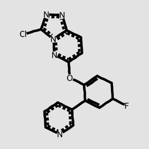 FC1C=C(c2cccnc2)C(Oc2ccc3nnc(Cl)n3n2)=CC1